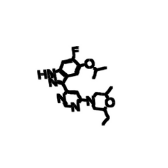 CCC1CN(c2cc(-c3n[nH]c4cc(F)c(OC(C)C)cc34)ncn2)CC(C)O1